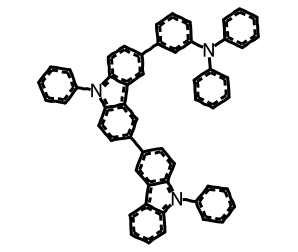 c1ccc(N(c2ccccc2)c2cccc(-c3ccc4c(c3)c3cc(-c5ccc6c(c5)c5ccccc5n6-c5ccccc5)ccc3n4-c3ccccc3)c2)cc1